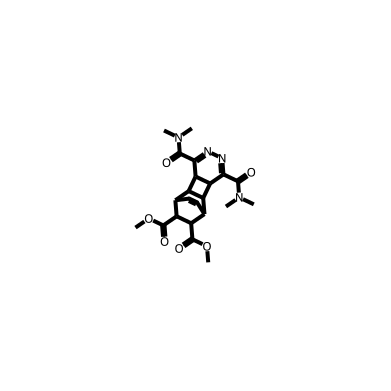 COC(=O)C1C2C=CC(C1C(=O)OC)C1C3C(C(=O)N(C)C)=NN=C(C(=O)N(C)C)C3C21